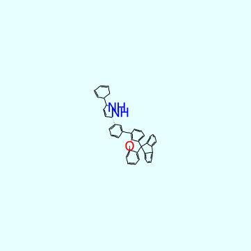 C1=CCC(C2C=C[C@@H](c3cccc(-c4cccc5c4Oc4ccccc4C54c5ccccc5-c5ccccc54)c3)NN2)C=C1